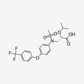 CC(C)O[C@@H](CN(c1ccc(Oc2ccc(C(F)(F)F)cc2)cc1)S(C)(=O)=O)C(=O)O